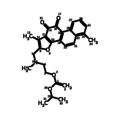 C=C(OCCN(C)Cc1oc2c(c1C)C(=O)C(=O)c1c-2ccc2c(C)cccc12)OC(C)C